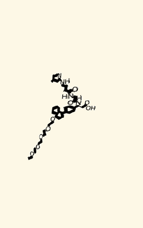 CCOCCOCCOCCOCCOc1ccc(-c2ccc([C@H](CC(=O)O)NC(=O)CNC(=O)CCCNc3cc(C)ccn3)cc2)c2ccccc12